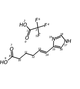 O=C(O)C(F)(F)F.O=C(O)CCC/C=C/c1c[nH]cn1